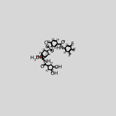 C[C@H]1CC2CC(S(=O)(=O)c3cc(C(=O)Nc4cc(F)c(F)c(F)c4)ccc3Cl)CC1[C@@]2(O)CNC(=O)C1CC(O)C(O)C1